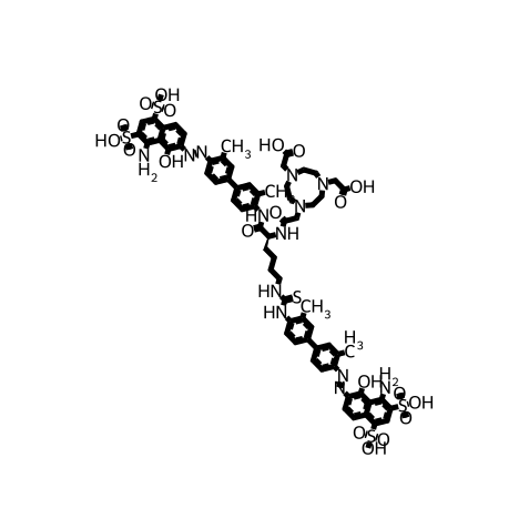 Cc1cc(-c2ccc(NC(=O)[C@H](CCCCNC(=S)Nc3ccc(-c4ccc(N=Nc5ccc6c(S(=O)(=O)O)cc(S(=O)(=O)O)c(N)c6c5O)c(C)c4)cc3C)NC(=O)CN3CCN(CC(=O)O)CCN(CC(=O)O)CC3)c(C)c2)ccc1N=Nc1ccc2c(S(=O)(=O)O)cc(S(=O)(=O)O)c(N)c2c1O